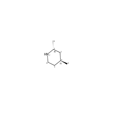 [CH2][C@@H]1C[C@@H](C)CCN1